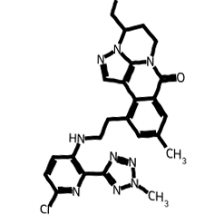 Cc1cc(CCNc2ccc(Cl)nc2-c2nnn(C)n2)c2c(c1)c(=O)n1c3c2cnn3C(CO)CC1